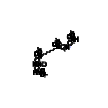 CC1=CC2=Nc3cc(C)c(N(CCCCCCCCCN(C(=O)OC(C)(C)C)c4cc(C)c(/N=C5/C=C(C)C(NC(=O)OC(C)(C)C)=CC5)cc4C)C(=O)OC(C)(C)C)cc3N(c3ccccc3)C2C=C1NC(=O)OC(C)(C)C